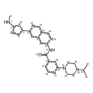 CNc1ncc(-c2cc3cc(NC(=O)c4ccnc(N5CCN(C(C)C)CC5)c4)ncc3cn2)s1